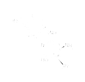 CC(C)c1ccc2[nH]c([C@@H](N)[C@H](O)C(C)C)nc2c1